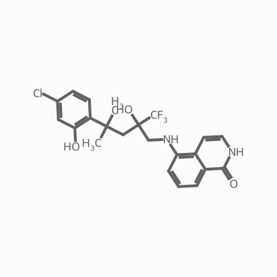 CC(C)(CC(O)(CNc1cccc2c(=O)[nH]ccc12)C(F)(F)F)c1ccc(Cl)cc1O